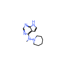 CN(c1ncnc2[nH]ccc12)N1CCCCCC1